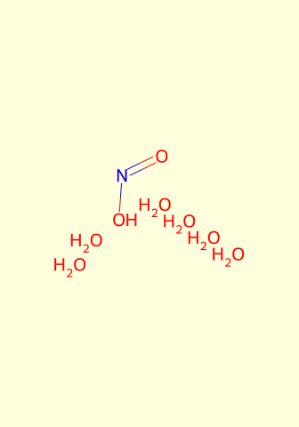 O.O.O.O.O.O.O=NO